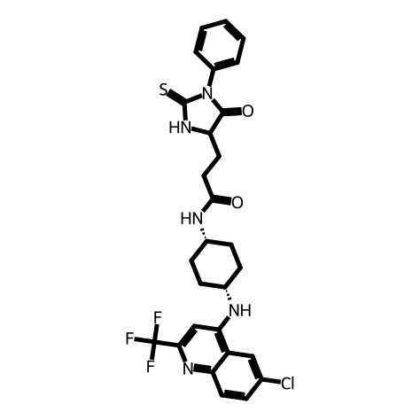 O=C(CCC1NC(=S)N(c2ccccc2)C1=O)N[C@H]1CC[C@@H](Nc2cc(C(F)(F)F)nc3ccc(Cl)cc23)CC1